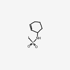 O=S(=O)(I)NC1C=CCCC1